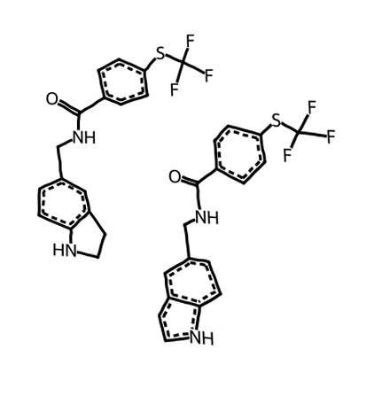 O=C(NCc1ccc2[nH]ccc2c1)c1ccc(SC(F)(F)F)cc1.O=C(NCc1ccc2c(c1)CCN2)c1ccc(SC(F)(F)F)cc1